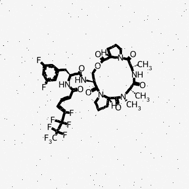 C[C@@H]1NC(=O)[C@H](C)N(C)C(=O)[C@@H]2CCCN2C(=O)[C@@H](NC(=O)[C@H](Cc2cc(F)cc(F)c2)NC(=O)/C=C/C=C(\F)C(F)(F)C(F)(F)C(F)(F)F)COC(=O)[C@@H]2CCCN2C1=O